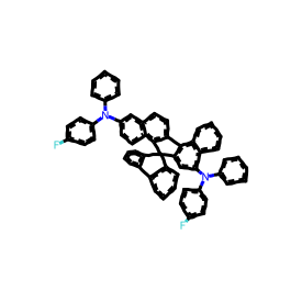 Fc1ccc(N(c2ccccc2)c2ccc3c4c(ccc3c2)-c2c(cc(N(c3ccccc3)c3ccc(F)cc3)c3ccccc23)C42c3ccccc3-c3ccccc32)cc1